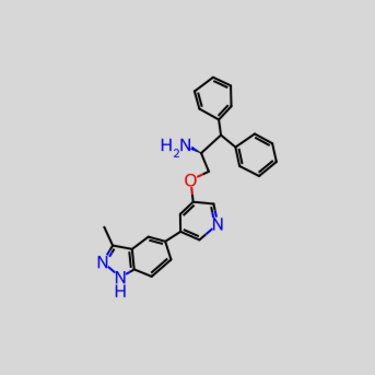 Cc1n[nH]c2ccc(-c3cncc(OC[C@@H](N)C(c4ccccc4)c4ccccc4)c3)cc12